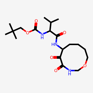 CC(C)C(NC(=O)OCC(C)(C)C)C(=O)NC1CCCCOCNC(=O)C1=O